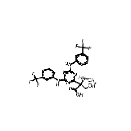 CN[C@](CO)(C(=O)O)c1nc(Nc2cccc(C(F)(F)F)c2)nc(Nc2cccc(C(F)(F)F)c2)n1